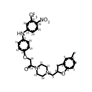 Cc1ccc2c(c1)CC(CN1CCN(C(=O)COc3ccc(Nc4ccc([N+](=O)[O-])c(C(F)(F)F)c4)cc3)CC1)O2